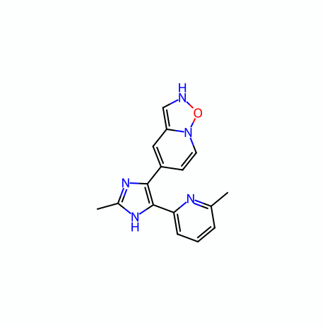 Cc1cccc(-c2[nH]c(C)nc2C2=CC3=CNON3C=C2)n1